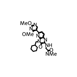 CNC(=O)CNc1nc2ccc(-c3cnc(OC)nc3OC)nc2n(CC2CCCCC2)c1=O